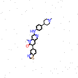 CN1CCC(c2ccc(Nc3cc4c(cn3)cc(-c3ccc5scnc5c3)c(=O)n4C)cc2)CC1